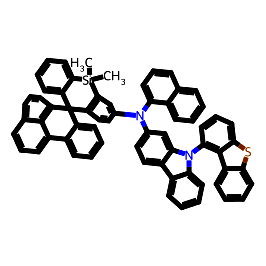 C[Si]1(C)c2ccccc2C2(c3ccccc3-c3cccc4cccc2c34)c2ccc(N(c3ccc4c5ccccc5n(-c5cccc6sc7ccccc7c56)c4c3)c3cccc4ccccc34)cc21